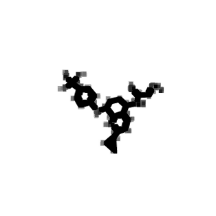 C=CC(=O)NC1CCC(Oc2ccc(C(F)(F)F)cc2)c2nc(C3CC3)ccc21